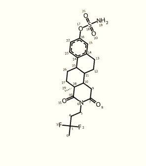 CC(F)(F)CCN1C(=O)CC2C3CCc4cc(OS(N)(=O)=O)ccc4C3CC[C@]2(C)C1=O